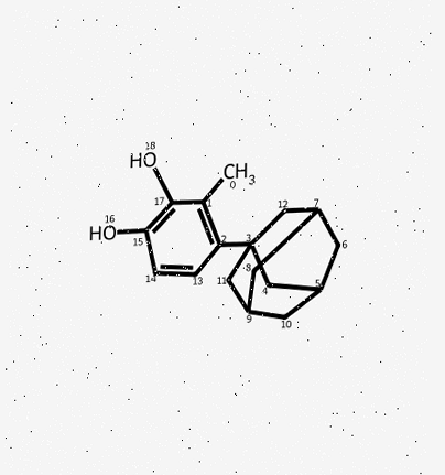 Cc1c(C23CC4CC(CC(C4)C2)C3)ccc(O)c1O